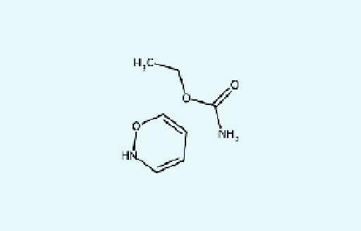 C1=CNOC=C1.CCOC(N)=O